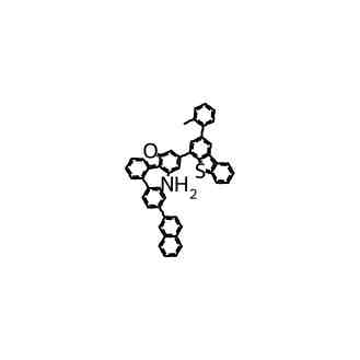 Cc1ccccc1-c1cc(-c2cc(N)c3c(c2)oc2cccc(-c4ccc(-c5ccc6ccccc6c5)cc4)c23)c2sc3ccccc3c2c1